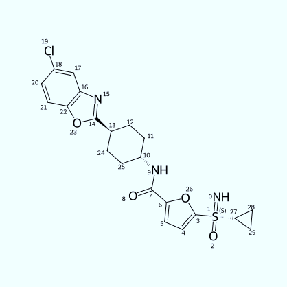 N=[S@@](=O)(c1ccc(C(=O)N[C@H]2CC[C@H](c3nc4cc(Cl)ccc4o3)CC2)o1)C1CC1